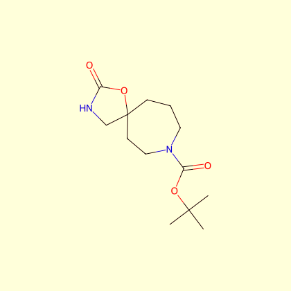 CC(C)(C)OC(=O)N1CCCC2(CC1)CNC(=O)O2